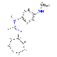 CCOC(=O)Nc1ccc(N(C)C(C)=NC2CCCCCC2)cc1